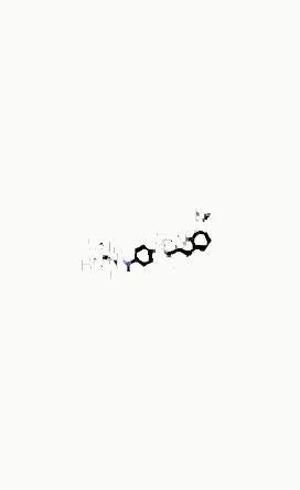 C/C(=N\NC(=N)NO)c1ccc(NC(=O)c2cc3cccc(O[N+](=O)[O-])c3[nH]2)cc1